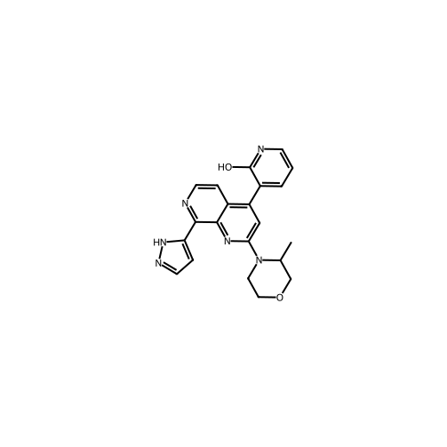 CC1COCCN1c1cc(-c2cccnc2O)c2ccnc(-c3ccn[nH]3)c2n1